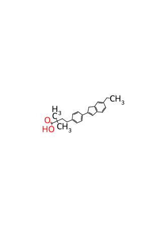 CCc1ccc2c(c1)CC(c1ccc(CCC(C)(C)C(=O)O)cc1)=C2